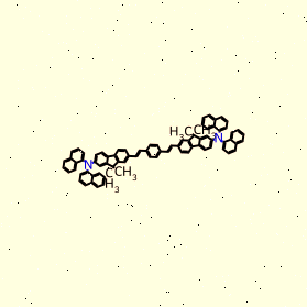 CC1(C)c2cc(/C=C/c3ccc(/C=C/c4ccc5c(c4)C(C)(C)c4cc(N(c6cccc7ccccc67)c6cccc7ccccc67)ccc4-5)cc3)ccc2-c2ccc(N(c3cccc4ccccc34)c3cccc4ccccc34)cc21